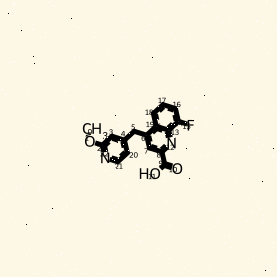 COc1cc(Cc2cc(C(=O)O)nc3c(F)cccc23)ccn1